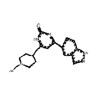 CC(=O)N1CCC(c2cc(-c3ccc4[nH]ncc4c3)nc(=O)[nH]2)CC1